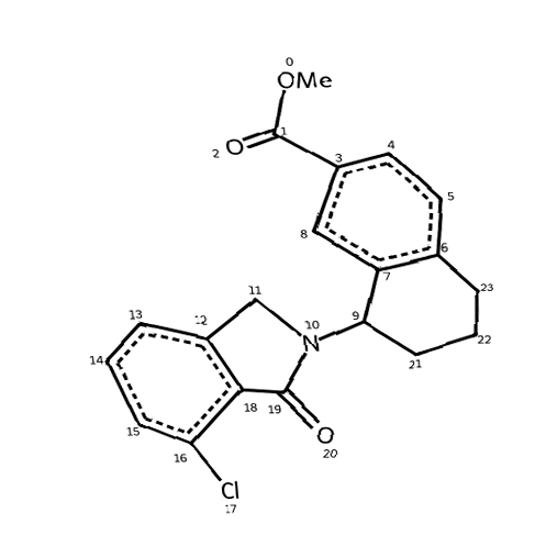 COC(=O)c1ccc2c(c1)C(N1Cc3cccc(Cl)c3C1=O)CCC2